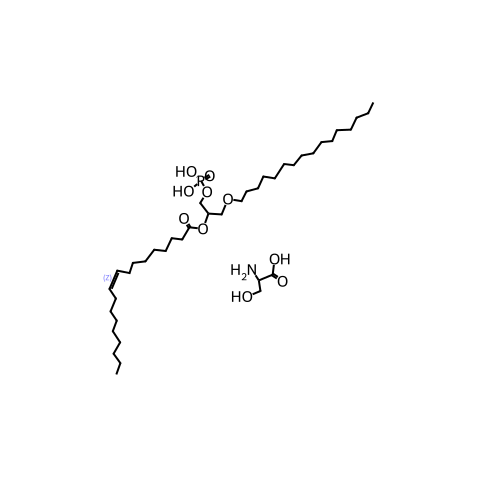 CCCCCCCC/C=C\CCCCCCCC(=O)OC(COCCCCCCCCCCCCCCCC)COP(=O)(O)O.NC(CO)C(=O)O